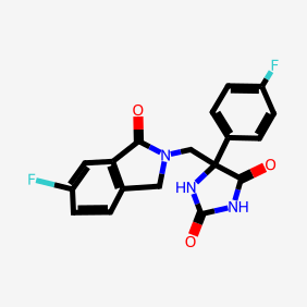 O=C1NC(=O)C(CN2Cc3ccc(F)cc3C2=O)(c2ccc(F)cc2)N1